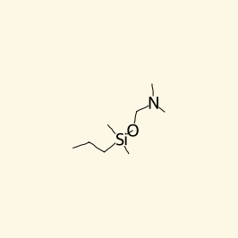 CCC[Si](C)(C)OCN(C)C